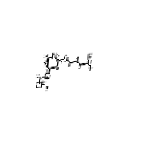 FC(F)=CCCSc1cc(OCC(F)(F)F)ncn1